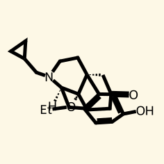 CCO[C@@]12CCC(=O)C[C@@]13CCN(CC1CC1)[C@@H]2Cc1ccc(O)cc13